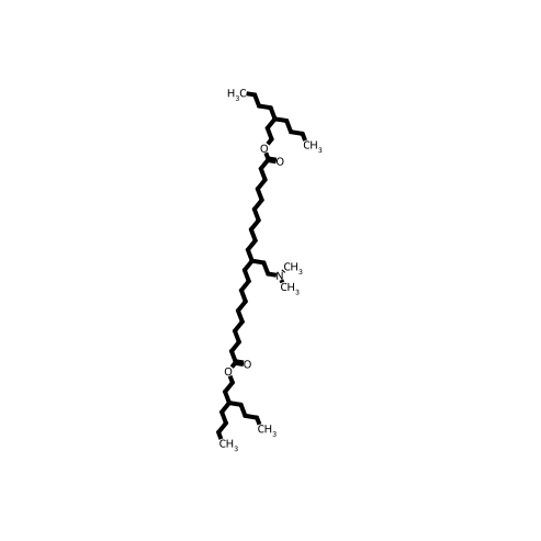 CCCCC(CCCC)CCOC(=O)CCCCCCCCCC(CCCCCCCCCC(=O)OCCC(CCCC)CCCC)CCN(C)C